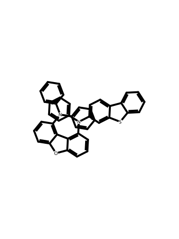 c1ccc(N(c2ccccc2)c2cccc3oc4cccc(N(c5ccccc5)c5ccc6c(c5)sc5ccccc56)c4c23)cc1